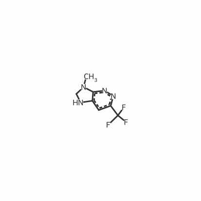 CN1CNc2cc(C(F)(F)F)nnc21